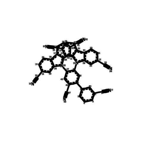 N#Cc1cccc(-c2cc(-n3c4cc(C#N)ccc4c4ccc(C#N)cc43)c(-n3c4cc(C#N)ccc4c4ccc(C#N)cc43)cc2C#N)c1